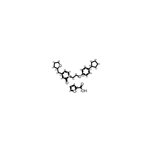 O=C(O)c1ccco1.O=c1cc(CC2CCCO2)ccn1CCOc1ccc(C2CCCC2)cc1